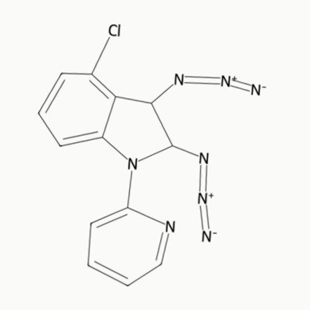 [N-]=[N+]=NC1c2c(Cl)cccc2N(c2ccccn2)C1N=[N+]=[N-]